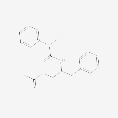 CC(=O)SCC(Cc1ccccc1)NC(=O)N(N)c1ccccc1